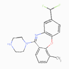 Cc1cccc2c1Oc1ccc(C(F)F)cc1N=C2N1CCNCC1